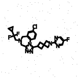 Fc1cnc(N2CC3(CC(c4nnc5n4-c4ccc(Cl)cc4CN(CC(F)(F)C4CC4)C5)C3)C2)nc1